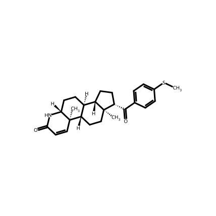 CSc1ccc(C(=O)[C@H]2CC[C@H]3[C@@H]4CC[C@H]5NC(=O)C=C[C@]5(C)[C@H]4CC[C@]23C)cc1